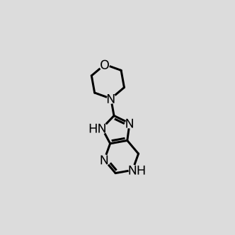 C1=Nc2[nH]c(N3CCOCC3)nc2CN1